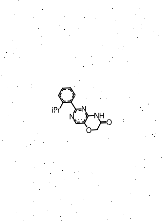 CC(C)c1ccccc1-c1ncc2c(n1)NC(=O)CO2